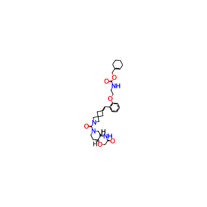 O=C1CO[C@H]2CCN(C(=O)N3CC4(CC(=Cc5ccccc5OCCNC(=O)OCC5=CCCCC5)C4)C3)C[C@H]2N1